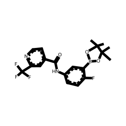 CC1(C)OB(c2cc(NC(=O)c3ccnc(C(F)(F)F)c3)ccc2F)OC1(C)C